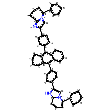 C1=CC2NC(c3ccc(-c4c5ccccc5c(-c5ccc(-c6cn7c(-c8ccccc8)cccc7n6)cc5)c5ccccc45)cc3)=CN2C(c2ccccc2)=C1